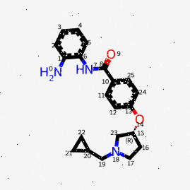 Nc1ccccc1NC(=O)c1ccc(O[C@@H]2CCN(CC3CC3)C2)cc1